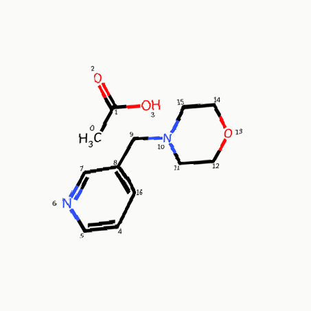 CC(=O)O.c1cncc(CN2CCOCC2)c1